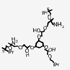 CC(C)CCOCC(O)COC1CC(OCC(O)COCCC(C)(N)OCC(C)(F)C(C)C)CC(OCC(O)COCCC(C)(CN)OCC(C)(F)C(C)C)C1